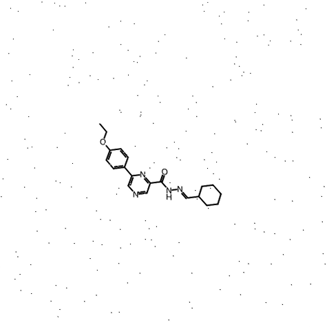 CCOc1ccc(-c2cncc(C(=O)NN=CC3CCCCC3)n2)cc1